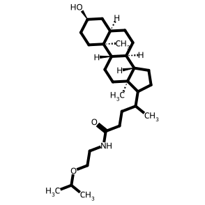 CC(C)OCCNC(=O)CCC(C)C1CC[C@H]2[C@@H]3CC[C@@H]4C[C@H](O)CC[C@]4(C)[C@H]3CC[C@]12C